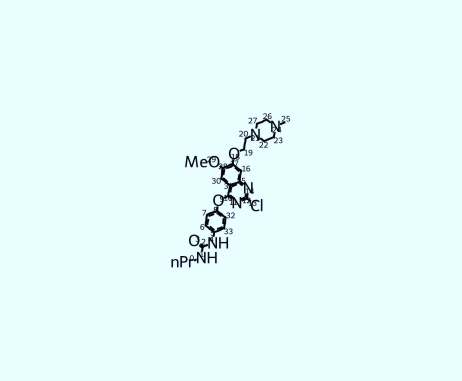 CCCNC(=O)Nc1ccc(Oc2nc(Cl)nc3cc(OCCN4CCN(C)CC4)c(OC)cc23)cc1